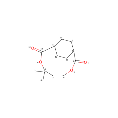 CC1(C)CCOC(=O)C2CCC(CC2)C(=O)O1